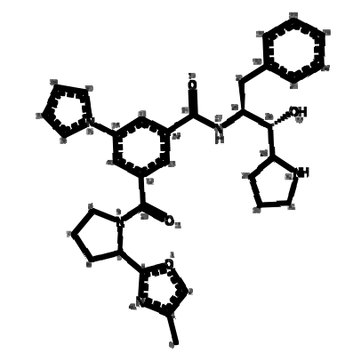 Cc1coc(C2CCCN2C(=O)c2cc(C(=O)N[C@@H](Cc3ccccc3)[C@H](O)C3CCCN3)cc(-n3cccc3)c2)n1